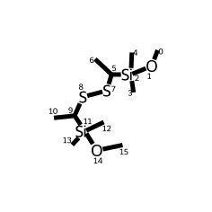 CO[Si](C)(C)C(C)SSC(C)[Si](C)(C)OC